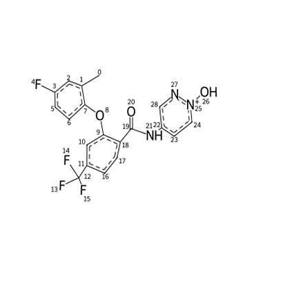 Cc1cc(F)ccc1Oc1cc(C(F)(F)F)ccc1C(=O)Nc1cc[n+](O)nc1